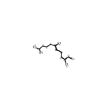 CCC(CC)CCCC(CC)CCCC(CC)CI